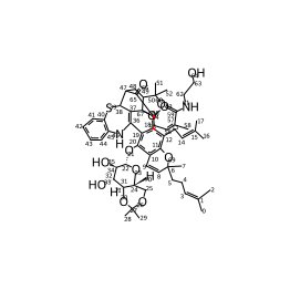 CC(C)=CCCC1(C)C=Cc2c(c(CC=C(C)C)c3c(c2O[C@@H]2O[C@@H]4COC(C)(C)O[C@H]4[C@H](O)[C@H]2O)C2=C4C(Sc5ccccc5N2)C2CC5C(C)(C)OC(C/C=C(/C)C(=O)NCCO)(C2=O)C45O3)O1